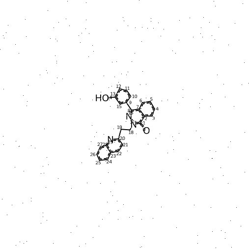 O=c1c2ccccc2c(-c2cccc(O)c2)nn1CCc1ccc2ccccc2n1